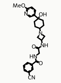 COc1ccc(C2(O)CCC(N3CC(NC(=O)CNC(=O)c4cccc(C#N)c4)C3)CC2)cn1